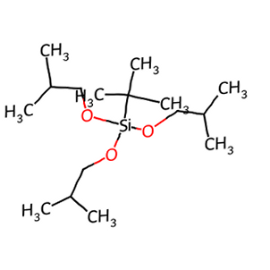 CC(C)CO[Si](OCC(C)C)(OCC(C)C)C(C)(C)C